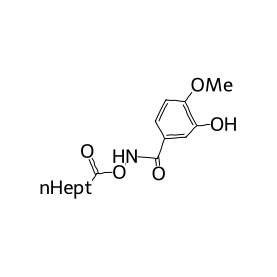 CCCCCCCC(=O)ONC(=O)c1ccc(OC)c(O)c1